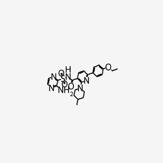 CCOc1ccc(-c2ccc(C(=O)NS(=O)(=O)c3nccnc3N)c(N3CCC(C)CC3)n2)cc1